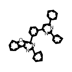 c1ccc(-c2cc(-c3cccc(-c4nc(-c5ccccc5)nc5c4oc4ccccc45)c3)nc(-c3ccccc3)n2)cc1